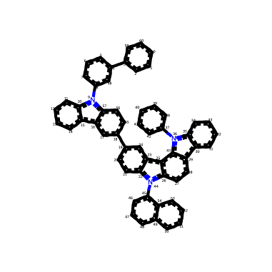 c1ccc(-c2cccc(-n3c4ccccc4c4cc(-c5ccc6c(c5)c5c(ccc7c8ccccc8n(-c8ccccc8)c75)n6-c5cccc6ccccc56)ccc43)c2)cc1